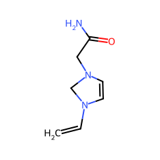 C=CN1C=CN(CC(N)=O)C1